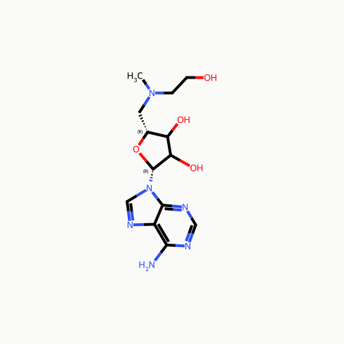 CN(CCO)C[C@H]1O[C@@H](n2cnc3c(N)ncnc32)C(O)C1O